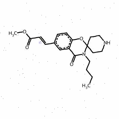 CCCCN1C(=O)c2cc(/C=C/C(=O)OC)ccc2OC12CCNCC2